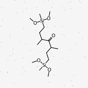 CO[Si](C)(CCC(C)C(=O)C(C)CC[Si](C)(OC)OC)OC